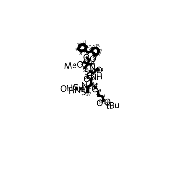 COCC1(C(=O)OC(c2ccccc2)c2ccccc2)CS[C@@H]2C(NC(=O)C(=NOCCCC(=O)OC(C)(C)C)c3csc(NC=O)n3)C(=O)N2C1